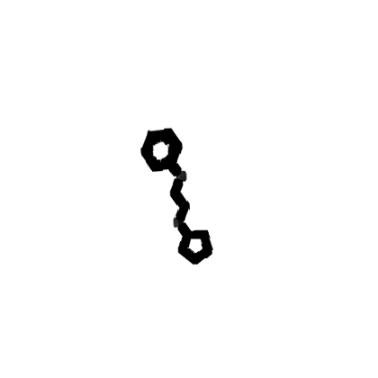 c1ccc(OCCOC2CCCC2)cc1